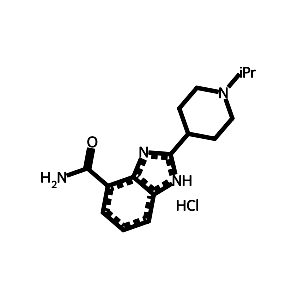 CC(C)N1CCC(c2nc3c(C(N)=O)cccc3[nH]2)CC1.Cl